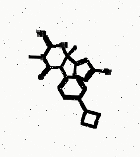 CN1C(=N)N[C@](C)(c2cc(Br)cs2)C(c2ccc(C3CCC3)cc2)C1=O